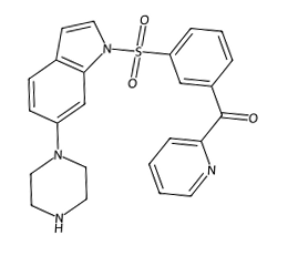 O=C(c1cccc(S(=O)(=O)n2ccc3ccc(N4CCNCC4)cc32)c1)c1ccccn1